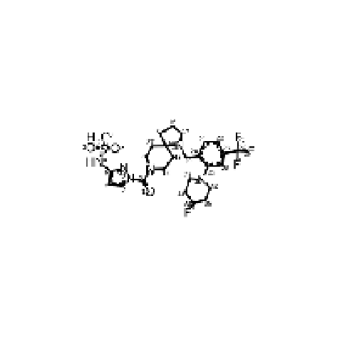 CS(=O)(=O)Nc1ccn(C(=O)N2CCC3(CCCN3Cc3ccc(C(F)(F)F)cc3N3CCC(F)CC3)CC2)n1